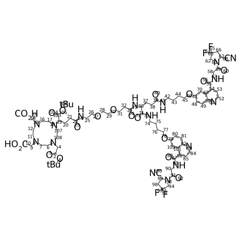 CC(C)(C)OC(=O)CN1CCN(CC(=O)O)CCN(CC(=O)O)CCN(C(CCC(=O)NCCOCCOCCC(=O)N[C@@H](CCC(=O)NCCCCOc2ccc3nccc(C(=O)NCC(=O)N4CC(F)(F)CC4C#N)c3c2)C(=O)NCCCCOc2ccc3nccc(C(=O)NCC(=O)N4CC(F)(F)CC4C#N)c3c2)C(=O)OC(C)(C)C)CC1